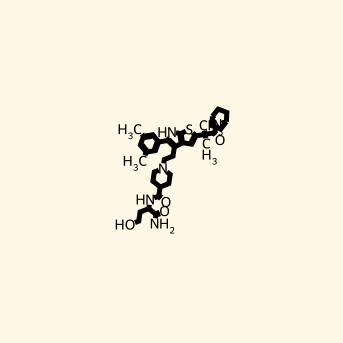 Cc1cc(C)cc(-c2[nH]c3sc(C(C)(C)C(=O)N4C5CCC4CC5)cc3c2CCN2CCC(C(=O)NC(CCO)C(N)=O)CC2)c1